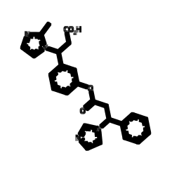 Cc1nccn1C(CC(=O)O)c1cccc(OC(=O)CC(c2ccccc2)n2ccnc2)c1